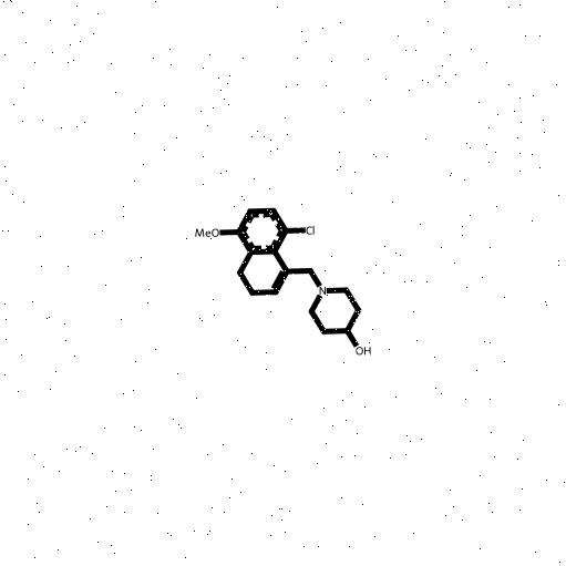 COc1ccc(Cl)c2c1CCC=C2CN1CCC(O)CC1